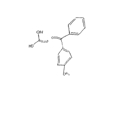 Cc1ccc(C(=O)c2ccccc2)cc1.O=C(O)O